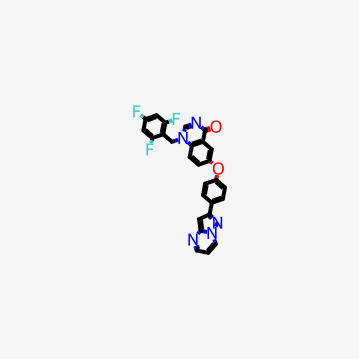 O=c1ncn(Cc2c(F)cc(F)cc2F)c2ccc(Oc3ccc(-c4cc5ncccn5n4)cc3)cc12